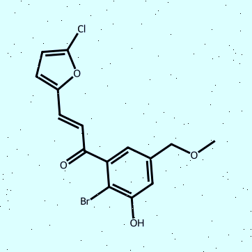 COCc1cc(O)c(Br)c(C(=O)/C=C/c2ccc(Cl)o2)c1